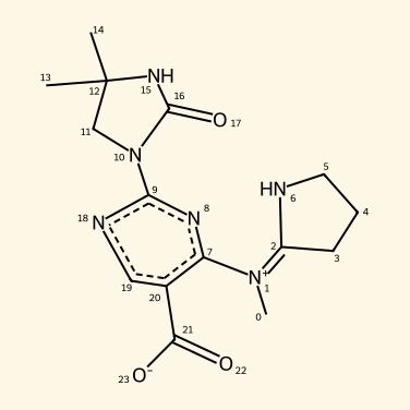 C[N+](=C1CCCN1)c1nc(N2CC(C)(C)NC2=O)ncc1C(=O)[O-]